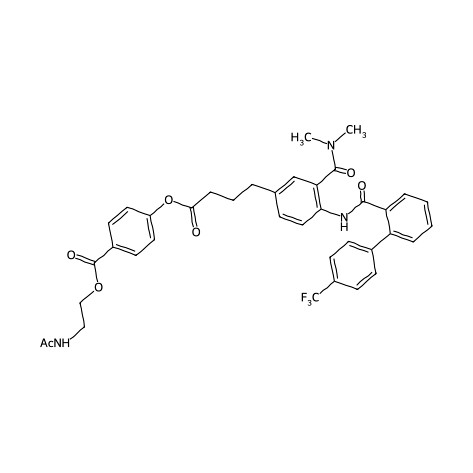 CC(=O)NCCOC(=O)c1ccc(OC(=O)CCCc2ccc(NC(=O)c3ccccc3-c3ccc(C(F)(F)F)cc3)c(C(=O)N(C)C)c2)cc1